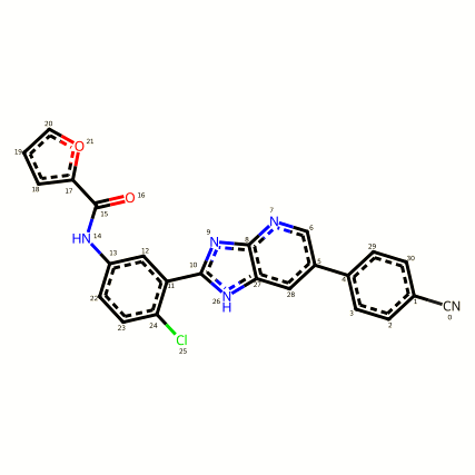 N#Cc1ccc(-c2cnc3nc(-c4cc(NC(=O)c5ccco5)ccc4Cl)[nH]c3c2)cc1